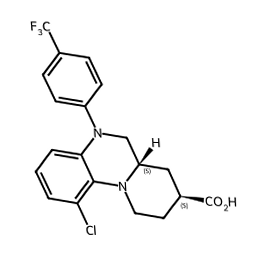 O=C(O)[C@H]1CCN2c3c(Cl)cccc3N(c3ccc(C(F)(F)F)cc3)C[C@@H]2C1